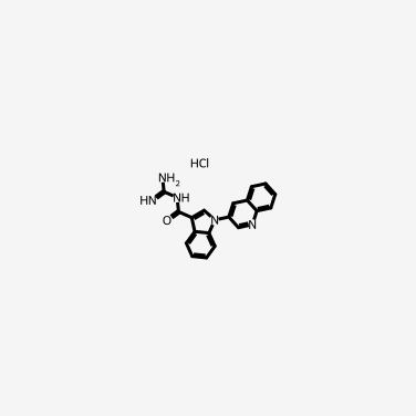 Cl.N=C(N)NC(=O)c1cn(-c2cnc3ccccc3c2)c2ccccc12